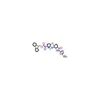 CC(C)(C)c1cnc(NC(=O)c2ccc(Sc3ccc(NC(=O)OCC4c5ccccc5-c5ccccc54)cc3)c(N)c2)s1